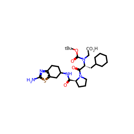 CC(C)(C)OC(=O)N(CC(=O)O)[C@H](CC1CCCCC1)C(=O)N1CCC[C@H]1C(=O)NC1CCc2nc(N)sc2C1